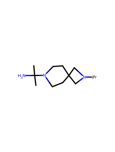 CC(C)N1CC2(CCN(C(C)(C)N)CC2)C1